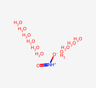 O.O.O.O.O.O.O.O.O.O.O=[NH+][O-]